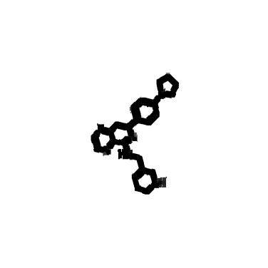 C1=C(CNc2nc(-c3ccc(N4CCCC4)cc3)cc3nccnc23)CNCC1